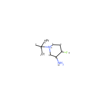 CCCC(C)(CC)N1CCC(F)C(N)C1